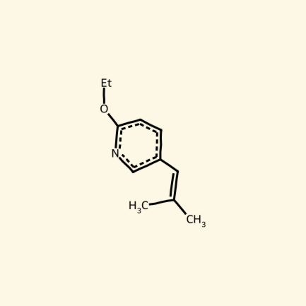 CCOc1ccc(C=C(C)C)cn1